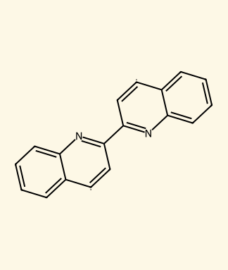 [c]1cc(-c2c[c]c3ccccc3n2)nc2ccccc12